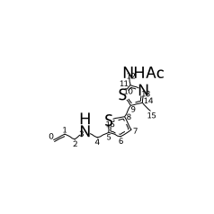 C=CCNCc1ccc(-c2sc(NC(C)=O)nc2C)s1